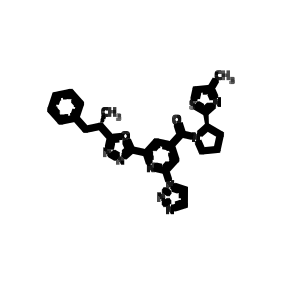 Cc1csc([C@H]2CCCN2C(=O)c2cc(-c3nnc([C@@H](C)Cc4ccccc4)o3)nc(-n3ccnn3)c2)n1